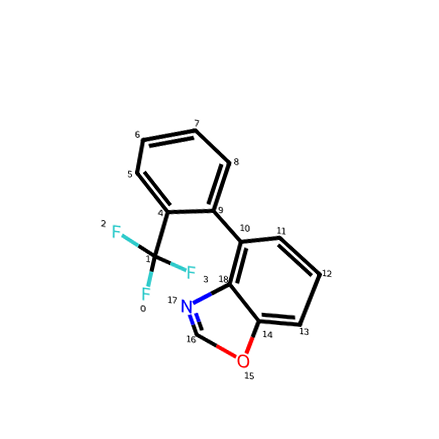 FC(F)(F)c1ccccc1-c1cccc2ocnc12